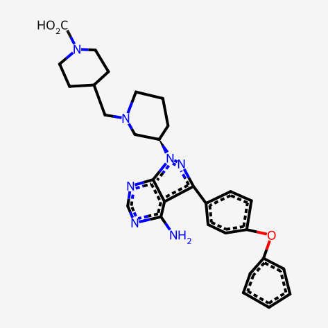 Nc1ncnc2c1c(-c1ccc(Oc3ccccc3)cc1)nn2[C@@H]1CCCN(CC2CCN(C(=O)O)CC2)C1